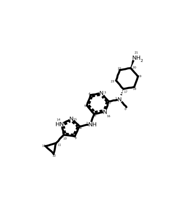 CN(c1nccc(Nc2cc(C3CC3)[nH]n2)n1)[C@H]1CC[C@H](N)CC1